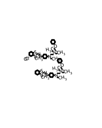 CCN(CC[N+](CC)(CC)CCOc1ccccc1)c1ccc(N=NC2Sc3ccccc3N2C)cc1.CCN(CC[N+](CC)(CC)CCOc1ccccc1)c1ccc(N=NC2Sc3ccccc3N2C)cc1.[Cl-].[Cl-]